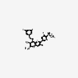 Cc1nc2cc(F)c(-c3cnc(P(C)C)c(F)c3)nc2c(NCc2cc(F)cc(F)c2)c1Cl